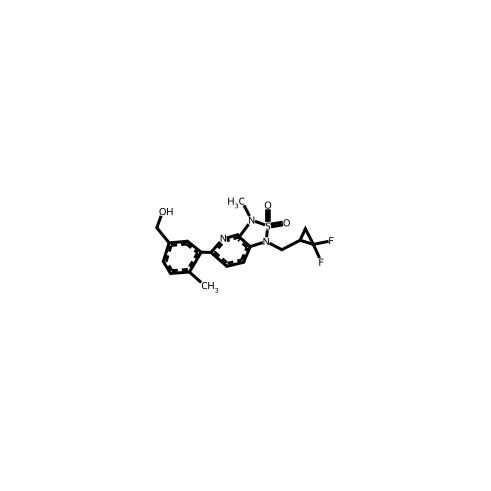 Cc1ccc(CO)cc1-c1ccc2c(n1)N(C)S(=O)(=O)N2CC1CC1(F)F